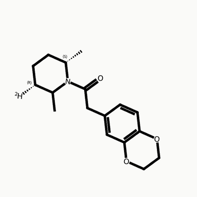 [2H][C@@H]1CC[C@H](C)N(C(=O)Cc2ccc3c(c2)OCCO3)C1C